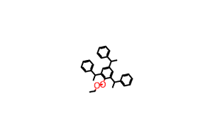 CCOOc1c(C(C)c2ccccc2)cc(C(C)c2ccccc2)cc1C(C)c1ccccc1